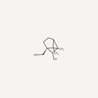 CC1(C)C2CC[C@@]1(CS)C(O)C2